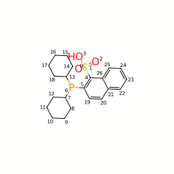 O=S(=O)(O)c1c(P(C2CCCCC2)C2CCCCC2)ccc2ccccc12